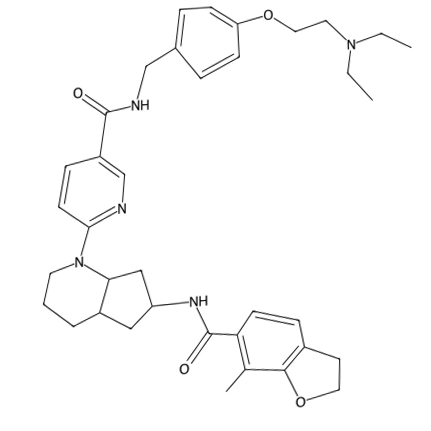 CCN(CC)CCOc1ccc(CNC(=O)c2ccc(N3CCCC4CC(NC(=O)c5ccc6c(c5C)OCC6)CC43)nc2)cc1